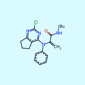 C=C(C(=O)NC(C)(C)C)N(c1ccccc1)c1nc(Cl)nc2c1CCC2